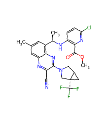 COC(=O)c1nc(Cl)ccc1N[C@H](C)c1cc(C)cc2nc(C#N)c(N3CC4C[C@@]4(C(F)(F)F)C3)nc12